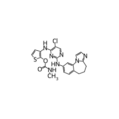 CNC(=O)Oc1sccc1Nc1nc(Nc2ccc3c(c2)-n2ccnc2CCC3)ncc1Cl